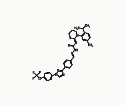 Cc1ccc(C(C)C)c(N2CCCS/C2=N\C(=O)N/N=C/c2ccc(-c3ncn(-c4ccc(OC(F)(F)F)cc4)n3)cc2)c1